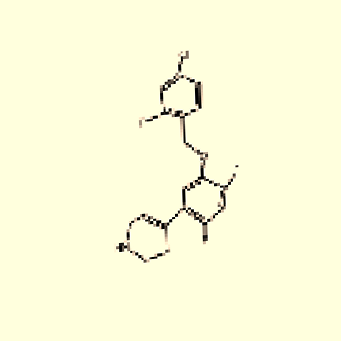 Fc1cc(Cl)ccc1COc1cc(C2=CCNCC2)c(F)cc1F